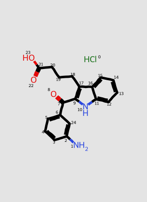 Cl.Nc1cccc(C(=O)c2[nH]c3ccccc3c2CCCC(=O)O)c1